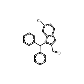 O=Cc1cc2ccc(Cl)cc2n1C(c1ccccc1)c1ccccc1